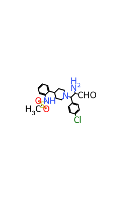 CS(=O)(=O)Nc1ccccc1C1CCN(C(c2ccc(Cl)cc2)[C@@H](N)C=O)CC1